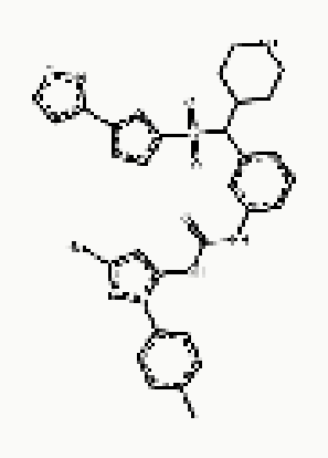 Cc1ccc(-n2nc(C(C)(C)C)cc2NC(=O)Nc2cccc(C(C3CCNCC3)S(=O)(=O)c3ccc(-c4ccon4)s3)c2)cc1